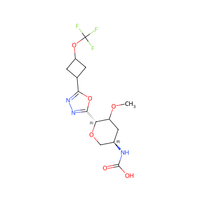 COC1C[C@@H](NC(=O)O)CO[C@@H]1c1nnc(C2CC(OC(F)(F)F)C2)o1